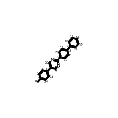 Cc1ccc(-c2cnc(-c3ccc(-c4ccccc4)cc3)nc2)cc1